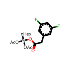 CCCCCC[Si](OC(C)=O)(OC(C)=O)OC(=O)Cc1cc(F)cc(F)c1